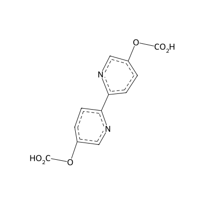 O=C(O)Oc1ccc(-c2ccc(OC(=O)O)cn2)nc1